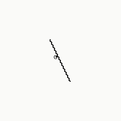 CCCCCCCCCCCCCCCCCC(=O)CCCCCCCCCCC